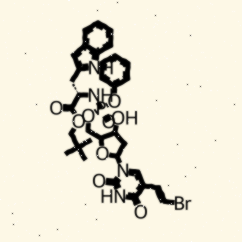 CC(C)(C)COC(=O)[C@H](Cc1cc2ccccc2[nH]1)NP(=O)(OCC1OC(n2cc(/C=C/Br)c(=O)[nH]c2=O)CC1O)Oc1ccccc1